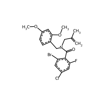 C=C(C)CN(Cc1ccc(OC)cc1OC)C(=O)c1c(F)cc(Cl)cc1Br